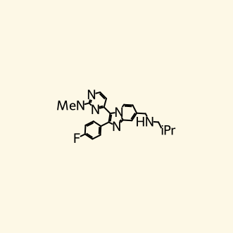 CNc1nccc(-c2c(-c3ccc(F)cc3)nc3cc(CNCC(C)C)ccn23)n1